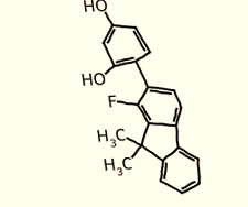 CC1(C)c2ccccc2-c2ccc(-c3ccc(O)cc3O)c(F)c21